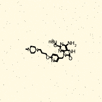 CCCCOc1nc(N)c2[nH]c(=O)n(Cc3ccc(OCCCN4CCN(C)CC4)nc3)c2n1